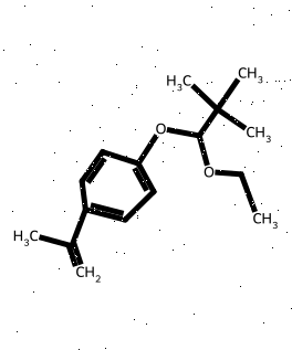 C=C(C)c1ccc(OC(OCC)C(C)(C)C)cc1